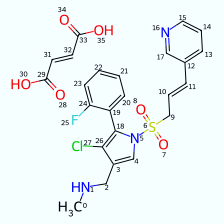 CNCc1cn(S(=O)(=O)CC=Cc2cccnc2)c(-c2ccccc2F)c1Cl.O=C(O)/C=C/C(=O)O